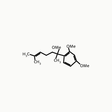 COc1ccc(C(C)(CCC=C(C)C)OC)c(OC)c1